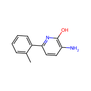 Cc1ccccc1-c1ccc(N)c(O)n1